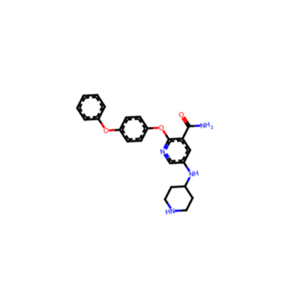 NC(=O)c1cc(NC2CCNCC2)cnc1Oc1ccc(Oc2ccccc2)cc1